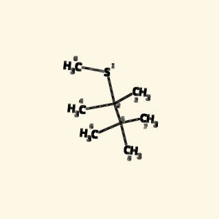 CSC(C)(C)C(C)(C)C